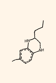 CCCC1CNc2ccc(C)cc2N1